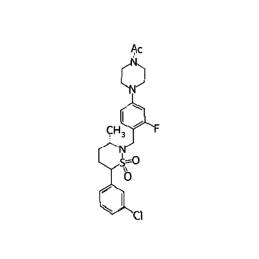 CC(=O)N1CCN(c2ccc(CN3[C@@H](C)CCC(c4cccc(Cl)c4)S3(=O)=O)c(F)c2)CC1